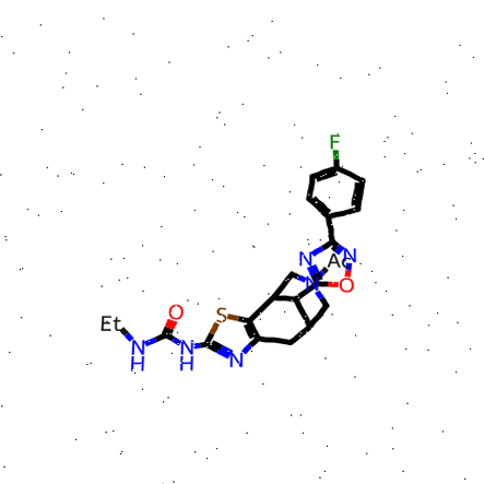 CCNC(=O)Nc1nc2c(s1)C1CN(C(C)=O)CC(C2)C1c1nc(-c2ccc(F)cc2)no1